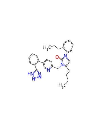 CCCCc1cn(-c2ccccc2CCC)c(=O)n1Cc1ccc(-c2ccccc2-c2nnn[nH]2)cn1